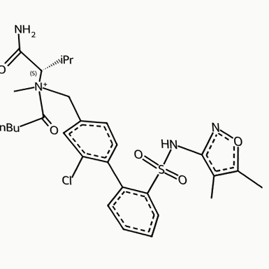 CCCCC(=O)[N+](C)(Cc1ccc(-c2ccccc2S(=O)(=O)Nc2noc(C)c2C)c(Cl)c1)[C@H](C(N)=O)C(C)C